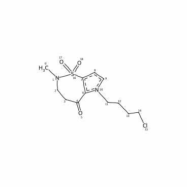 CN1CCC(=O)c2c(ccn2CCCCCl)S1(=O)=O